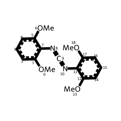 COc1cccc(OC)c1N=C=Nc1c(OC)cccc1OC